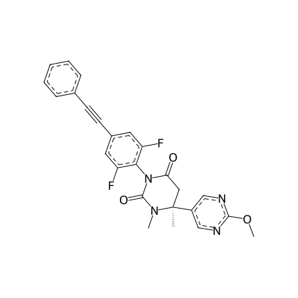 COc1ncc([C@]2(C)CC(=O)N(c3c(F)cc(C#Cc4ccccc4)cc3F)C(=O)N2C)cn1